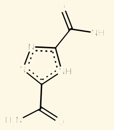 NC(=O)c1nnc(C(N)=O)[nH]1